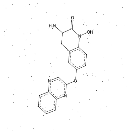 NC1Cc2cc(Oc3cnc4ccccc4n3)ccc2N(O)C1=O